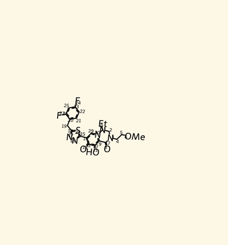 CCN1CN(CCOC)C(=O)c2c(O)c(=O)c(-c3nnc(Cc4ccc(F)cc4F)s3)cn21